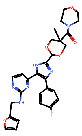 CC1(C(=O)N2CCOCC2)COC(c2nc(-c3ccc(F)cc3)c(-c3ccnc(NCc4ccco4)n3)[nH]2)OC1